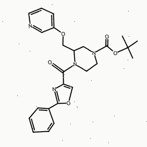 CC(C)(C)OC(=O)N1CCN(C(=O)c2coc(-c3ccccc3)n2)C(COc2cccnc2)C1